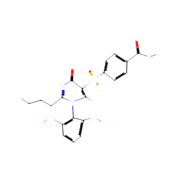 CCCCc1nc(=O)c(S(=O)(=O)c2ccc(C(=O)NC)cc2)c(O)n1-c1c(OC)cccc1OC